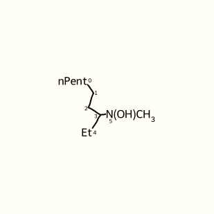 CCCCCCCC(CC)N(C)O